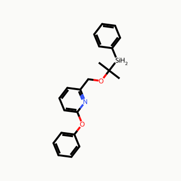 CC(C)(OCc1cccc(Oc2ccccc2)n1)[SiH2]c1ccccc1